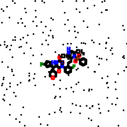 COC(=O)N[C@H](C(=O)Nc1cccc(F)c1CC[C@H]1CNC[C@@H](C)N1S(=O)(=O)c1ccccc1)C(C1=CC(F)=CC1)C1CCOCC1